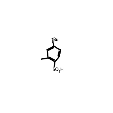 Cc1cc(C(C)(C)C)ccc1S(=O)(=O)O